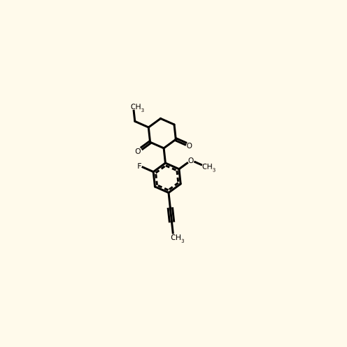 CC#Cc1cc(F)c(C2C(=O)CCC(CC)C2=O)c(OC)c1